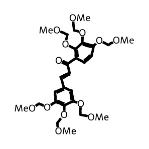 COCOc1cc(C=CC(=O)c2ccc(OCOC)c(OCOC)c2OCOC)cc(OCOC)c1OCOC